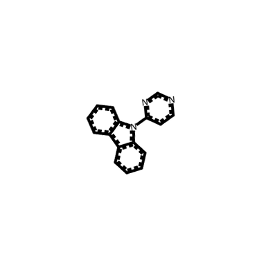 c1ccc2c(c1)c1ccccc1n2-c1ccncn1